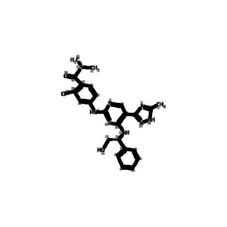 Cc1nc(-c2cnc(Nc3ccc(C(=O)N(C)C)c(Cl)c3)nc2N[C@H](CO)c2ccccc2)n[nH]1